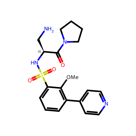 COc1c(-c2ccncc2)cccc1S(=O)(=O)N[C@@H](CN)C(=O)N1CCCC1